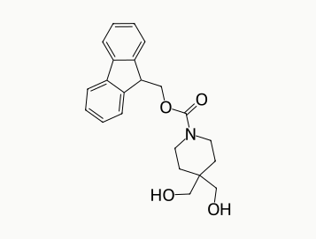 O=C(OCC1c2ccccc2-c2ccccc21)N1CCC(CO)(CO)CC1